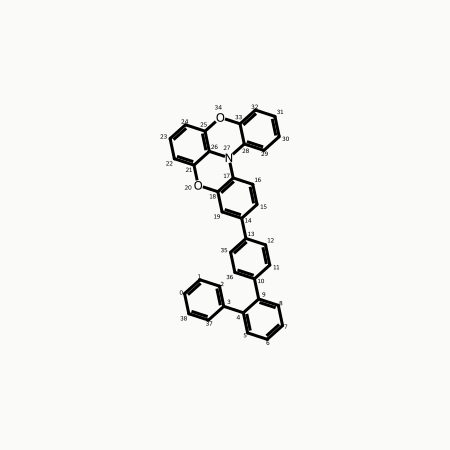 c1ccc(-c2ccccc2-c2ccc(-c3ccc4c(c3)Oc3cccc5c3N4c3ccccc3O5)cc2)cc1